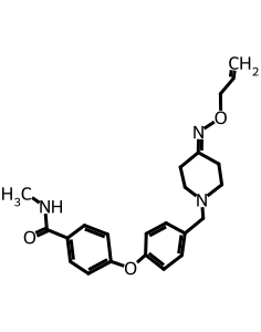 C=CCON=C1CCN(Cc2ccc(Oc3ccc(C(=O)NC)cc3)cc2)CC1